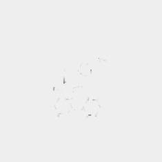 Cc1c(C(=O)O)c[nH]c1/C=C1\C(=O)Nc2cccc(-c3cccc(Cl)c3)c21